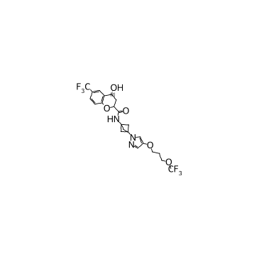 O=C(NC12CC(n3cc(OCCCOC(F)(F)F)cn3)(C1)C2)C1C[C@@H](O)c2cc(C(F)(F)F)ccc2O1